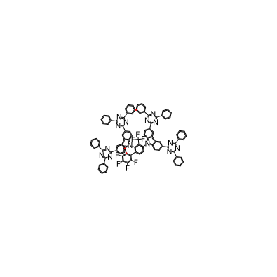 Fc1c(F)c(F)c(-c2ccc(-n3c4ccc(-c5nc(-c6ccccc6)nc(-c6ccccc6)n5)cc4c4cc(-c5nc(-c6ccccc6)nc(-c6ccccc6)n5)ccc43)c(C(F)(F)F)c2-n2c3ccc(-c4nc(-c5ccccc5)nc(-c5ccccc5)n4)cc3c3cc(-c4nc(-c5ccccc5)nc(-c5ccccc5)n4)ccc32)c(F)c1F